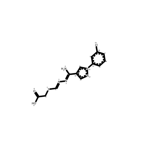 N/C(=N\N=C\SCC(=O)O)c1cnn(-c2cccc(Cl)c2)c1